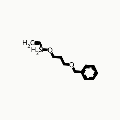 C=C[SiH2]OCCCOCc1ccccc1